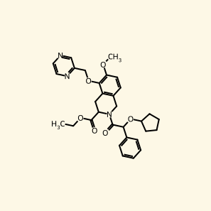 CCOC(=O)C1Cc2c(ccc(OC)c2OCc2cnccn2)CN1C(=O)C(OC1CCCC1)c1ccccc1